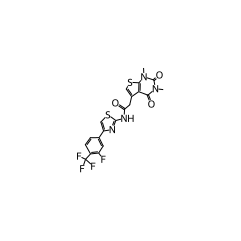 Cn1c(=O)c2c(CC(=O)Nc3nc(-c4ccc(C(F)(F)F)c(F)c4)cs3)csc2n(C)c1=O